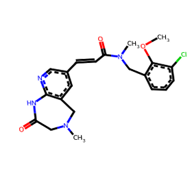 COc1c(Cl)cccc1CN(C)C(=O)C=Cc1cnc2c(c1)CN(C)CC(=O)N2